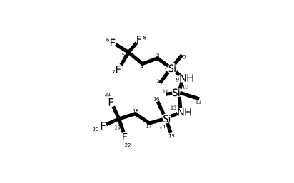 C[Si](C)(CCC(F)(F)F)N[Si](C)(C)N[Si](C)(C)CCC(F)(F)F